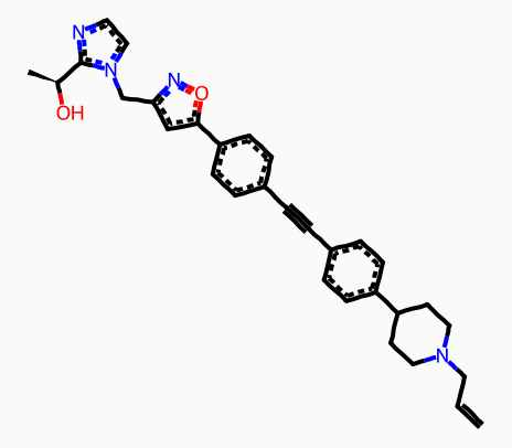 C=CCN1CCC(c2ccc(C#Cc3ccc(-c4cc(Cn5ccnc5[C@H](C)O)no4)cc3)cc2)CC1